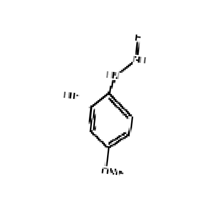 Br.COc1ccc(NNF)cc1